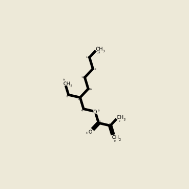 C=C(C)C(=O)OCC(CC)CCCCC